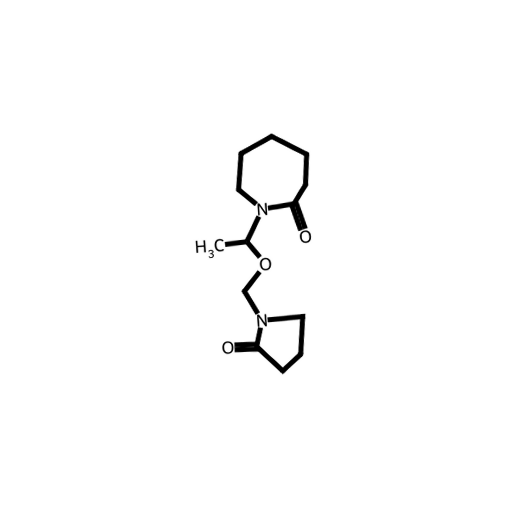 CC(OCN1CCCC1=O)N1CCCCCC1=O